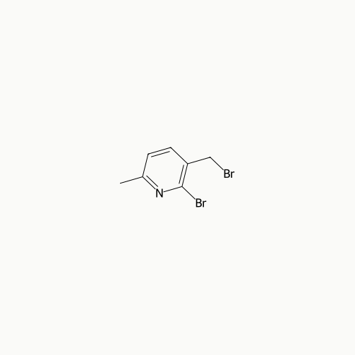 Cc1ccc(CBr)c(Br)n1